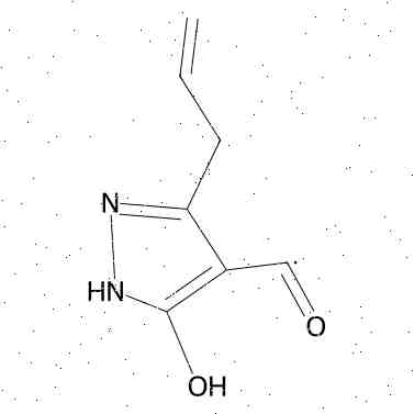 C=CCc1n[nH]c(O)c1[C]=O